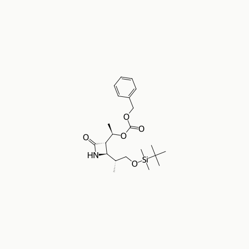 C[C@@H](CO[Si](C)(C)C(C)(C)C)[C@H]1NC(=O)[C@@H]1[C@@H](C)OC(=O)OCc1ccccc1